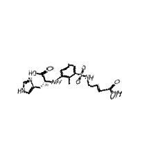 Cc1c(N[C@H](Cc2c[nH]cn2)C(=O)O)cccc1S(=O)(=O)NCCCC(=O)O